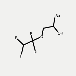 CCC(C)C(O)COC(F)(F)C(F)F